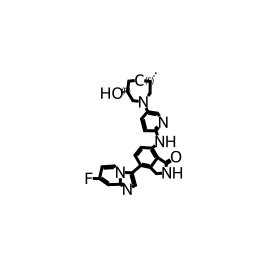 C[C@H]1CC[C@@H](O)CN(c2ccc(Nc3ccc(-c4cnc5cc(F)ccn45)c4c3C(=O)NC4)nc2)C1